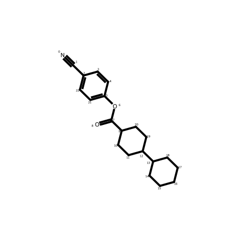 N#Cc1ccc(OC(=O)C2CCC(C3CCCCC3)CC2)cc1